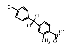 Cc1cc(C(Cl)(Cl)c2ccc(Cl)cc2)ccc1[N+](=O)[O-]